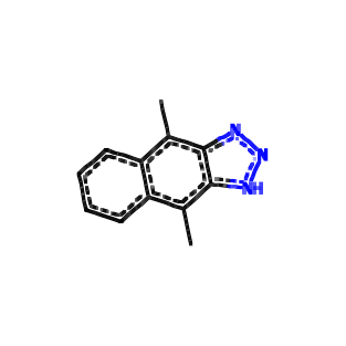 Cc1c2ccccc2c(C)c2[nH]nnc12